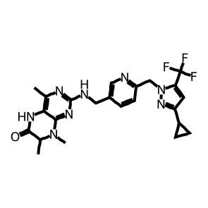 Cc1nc(NCc2ccc(Cn3nc(C4CC4)cc3C(F)(F)F)nc2)nc2c1NC(=O)C(C)N2C